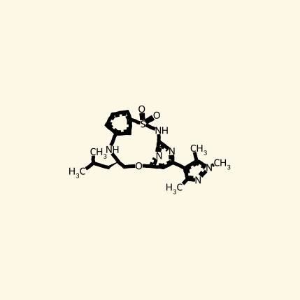 Cc1nn(C)c(C)c1-c1cc2nc(n1)NS(=O)(=O)c1cccc(c1)N[C@H](CC(C)C)CO2